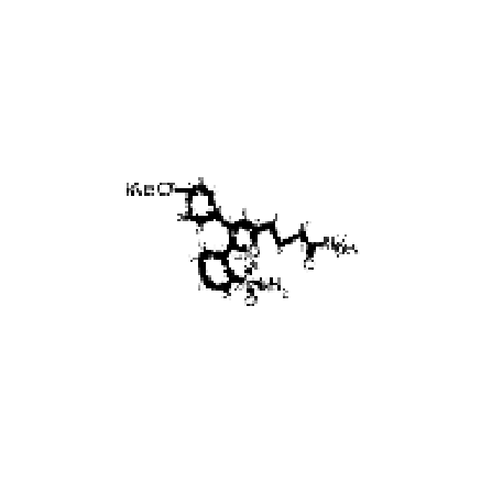 COc1ccc(-c2cc(CCCC(=O)NO)oc2-c2ccccc2S(N)(=O)=O)cc1